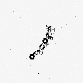 CC(=S)NC[C@H]1CN(c2ccc(N3CCN(C(=O)COCc4ccccc4)CC3)c(F)c2)C(=O)O1